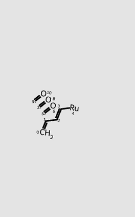 C=CC=[CH][Ru].[C]=O.[C]=O.[C]=O